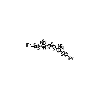 CC(C)Cc1cc2sc(-c3cnc(-c4cc5sc6cc(-c7ncc(-c8cc9sc(CC(C)C)cc9s8)c8nsnc78)sc6c5s4)c4nsnc34)cc2s1